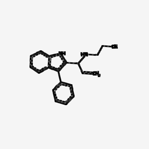 C=CC(NCCC#N)c1[nH]c2ccccc2c1-c1ccccc1